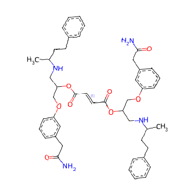 CC(CCc1ccccc1)NCC(COc1cccc(CC(N)=O)c1)OC(=O)/C=C/C(=O)OC(CNC(C)CCc1ccccc1)COc1cccc(CC(N)=O)c1